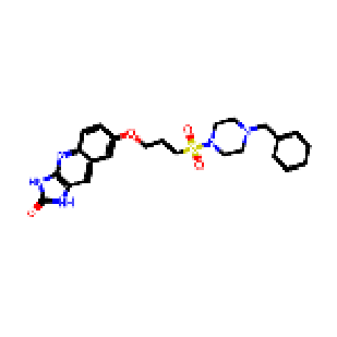 O=c1[nH]c2cc3cc(OCCCS(=O)(=O)N4CCN(CC5CCCCC5)CC4)ccc3nc2[nH]1